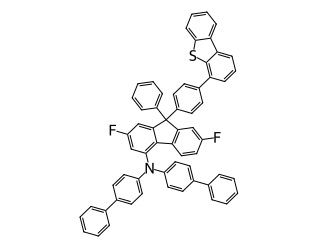 Fc1ccc2c(c1)C(c1ccccc1)(c1ccc(-c3cccc4c3sc3ccccc34)cc1)c1cc(F)cc(N(c3ccc(-c4ccccc4)cc3)c3ccc(-c4ccccc4)cc3)c1-2